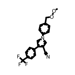 COOCc1ccc(-n2cc(C#N)c(-c3ccc(C(F)(F)F)cc3)c2)cc1